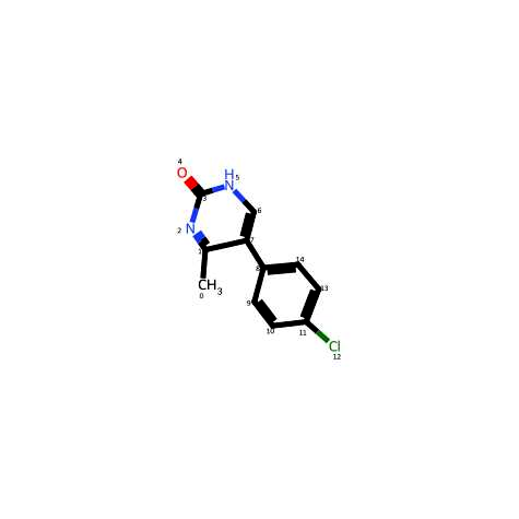 Cc1nc(=O)[nH]cc1-c1ccc(Cl)cc1